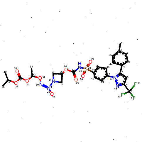 Cc1ccc(-c2cc(C(F)(F)F)nn2-c2ccc(S(=O)(=O)NC(=O)OC3CN(/[N+]([O-])=N\OC(C)OC(=O)OC(C)C)C3)cc2)cc1